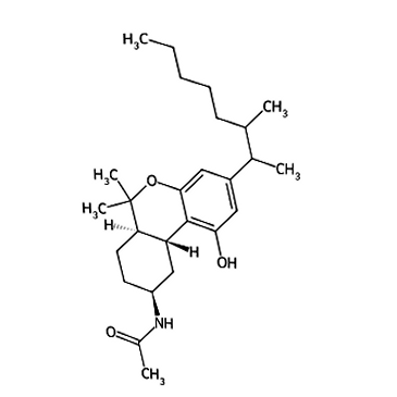 CCCCCC(C)C(C)c1cc(O)c2c(c1)OC(C)(C)[C@@H]1CC[C@H](NC(C)=O)C[C@@H]21